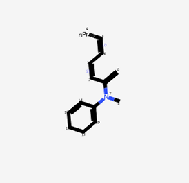 C=C(/C=C\C=C/CCC)N(C)C1=CCCC=C1